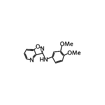 COc1ccc(Nc2noc3cccnc23)cc1OC